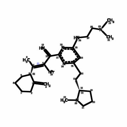 C=C1CCCC[C@@H]1/C(C)=C(\CCC)C(=N)c1nc(CC[C@@H]2CCCN2C)cc(NCCN(C)C)n1